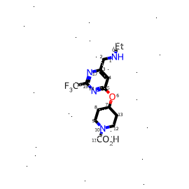 CCNCc1cc(OC2CCN(C(=O)O)CC2)nc(C(F)(F)F)n1